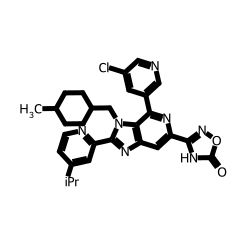 CC1CCC(Cn2c(-c3cc(C(C)C)ccn3)nc3cc(-c4noc(=O)[nH]4)nc(-c4cncc(Cl)c4)c32)CC1